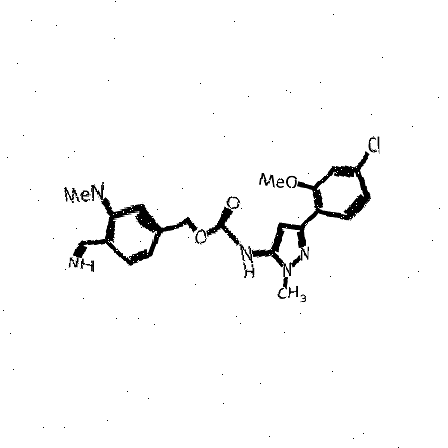 CNc1cc(COC(=O)Nc2cc(-c3ccc(Cl)cc3OC)nn2C)ccc1C=N